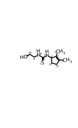 CC1=C(C)C(NC(=S)NCCO)CC1